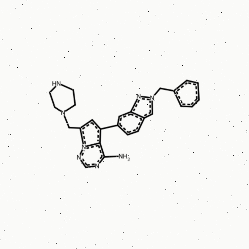 Nc1ncnn2c(CN3CCNCC3)cc(-c3ccc4cn(Cc5ccccc5)nc4c3)c12